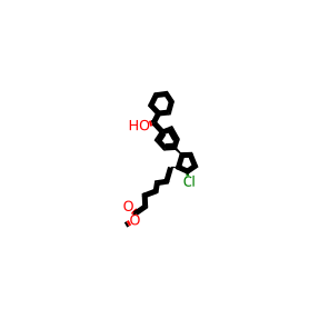 COC(=O)CCCCCC[C@H]1[C@H](Cl)CC[C@@H]1c1ccc(C(O)C2CCCCC2)cc1